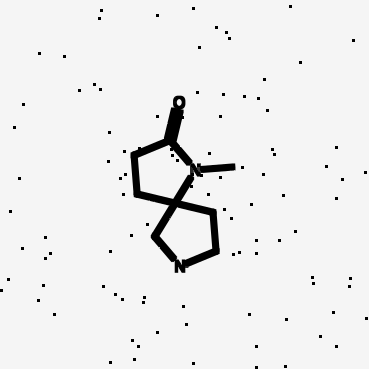 CN1C(=O)CCC12CC[N]C2